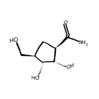 NC(=O)[C@@H]1C[C@H](CO)[C@@H](O)[C@H]1O